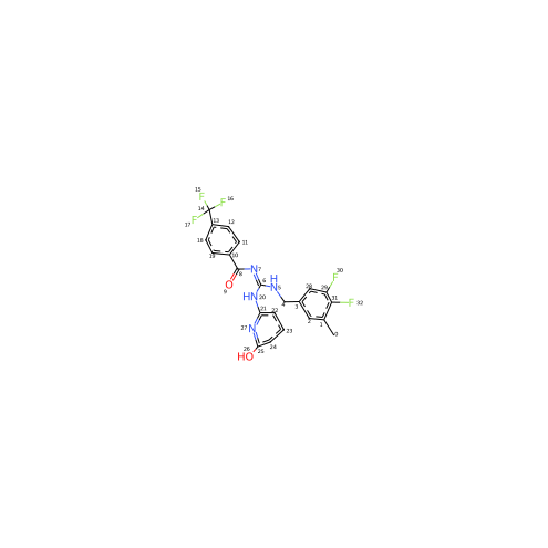 Cc1cc(CN/C(=N/C(=O)c2ccc(C(F)(F)F)cc2)Nc2cccc(O)n2)cc(F)c1F